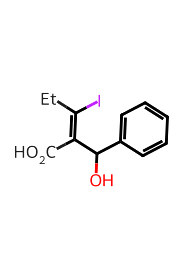 CCC(I)=C(C(=O)O)C(O)c1ccccc1